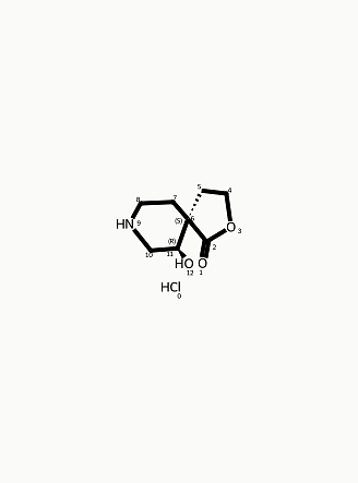 Cl.O=C1OCC[C@]12CCNC[C@@H]2O